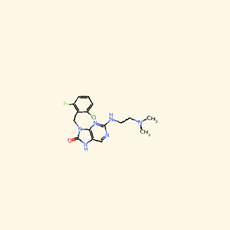 CN(C)CCNc1ncc2[nH]c(=O)n(Cc3c(F)cccc3Cl)c2n1